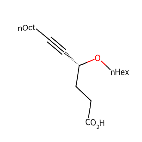 CCCCCCCCC#C[C@@H](CCC(=O)O)OCCCCCC